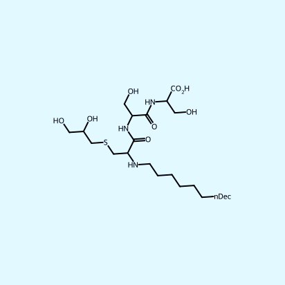 CCCCCCCCCCCCCCCCNC(CSCC(O)CO)C(=O)NC(CO)C(=O)NC(CO)C(=O)O